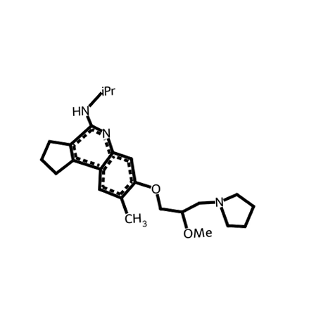 COC(COc1cc2nc(NC(C)C)c3c(c2cc1C)CCC3)CN1CCCC1